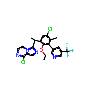 CCOc1c(C(C)c2ncc3c(Cl)nccn23)cc(Cl)c(C)c1-c1cncc(C(F)(F)F)c1